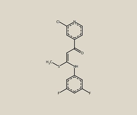 CS/C(=C/C(=O)c1ccnc(Cl)c1)Nc1cc(F)cc(F)c1